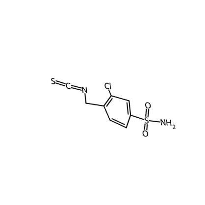 NS(=O)(=O)c1ccc(CN=C=S)c(Cl)c1